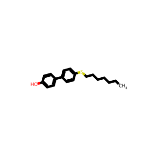 CCCCCCCSc1ccc(-c2ccc(O)cc2)cc1